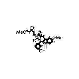 CCN(CCOC)CCN1C(=O)N2C(c3cccc(O)c3)c3[nH]c4ccc(OC)cc4c3CC2(C)C1=O